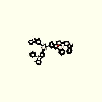 CC1(C)c2cccc3c2-c2c1ccc1c4ccccc4n(c21)-c1c(-c2ccc4ccc(-c5nc(-c6ccc7sc8ccccc8c7c6)nc(-c6ccc7c8ccccc8n(-c8ccccc8)c7c6)n5)cc4c2)cccc1-3